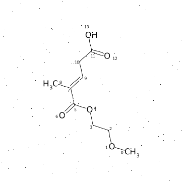 COCCOC(=O)C(C)=CCC(=O)O